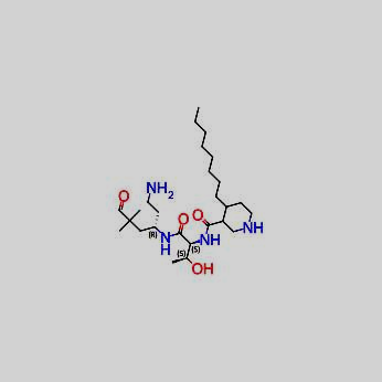 CCCCCCCCC1CCNCC1C(=O)N[C@H](C(=O)N[C@@H](CCN)CC(C)(C)C=O)[C@H](C)O